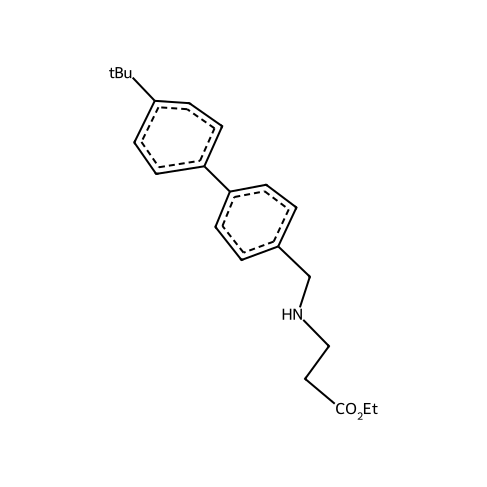 CCOC(=O)CCNCc1ccc(-c2ccc(C(C)(C)C)cc2)cc1